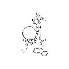 CCOC(=O)[C@@]12C[C@H]1/C=C\CCCCC[C@H](NC(=O)OC(C)(C)C)C(=O)N1CCN(C(=O)OCC3c4ccccc4-c4ccccc43)CC1C(=O)N2